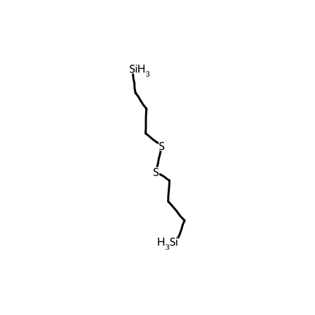 [SiH3]CCCSSCCC[SiH3]